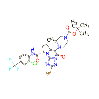 C[C@H]1C[C@@H](C(=O)Nc2ccc(C(F)(F)F)cc2Cl)n2c1c(N1CCN(C(=O)OC(C)(C)C)CC1)c(=O)n1nc(Br)nc21